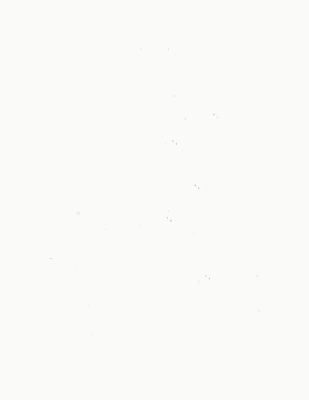 O=C(Nc1nc(-c2ccccc2)ns1)N(CCC(c1ccccc1)c1ccccc1)CCN1CCOCC1